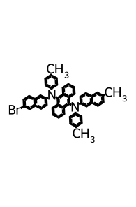 Cc1ccc(N(c2ccc3cc(C)ccc3c2)c2c3ccccc3c(N(c3ccc(C)cc3)c3ccc4cc(Br)ccc4c3)c3ccccc23)cc1